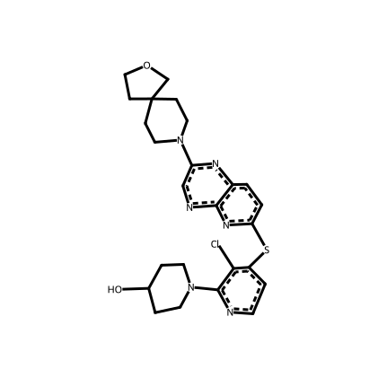 OC1CCN(c2nccc(Sc3ccc4nc(N5CCC6(CCOC6)CC5)cnc4n3)c2Cl)CC1